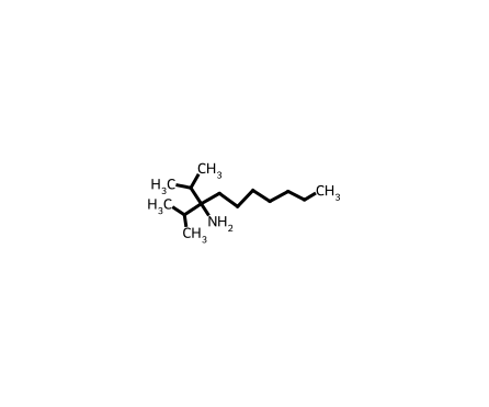 CCCCCCCC(N)(C(C)C)C(C)C